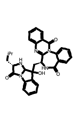 CC(C)C[C@@H]1NC2N(C1=O)c1ccccc1C2(O)C[C@@H]1NC(=O)c2ccccc2-n2c1nc1ccccc1c2=O